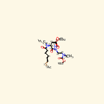 CC(=O)SCCCCCC(=O)N(C)[C@@H](CC(=O)OC(C)(C)C)C(=O)NCCN(C)C(=O)OC(C)(C)C